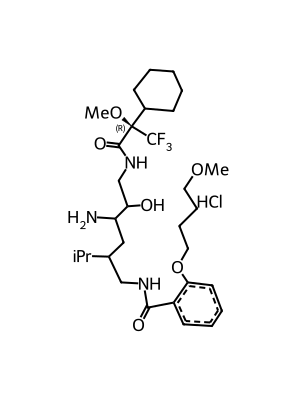 COCCCCOc1ccccc1C(=O)NCC(CC(N)C(O)CNC(=O)[C@](OC)(C1CCCCC1)C(F)(F)F)C(C)C.Cl